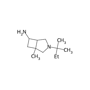 CCC(C)(C)N1CC2C(N)CC2(C)C1